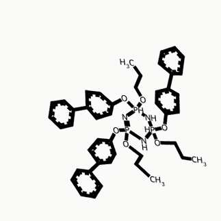 CCCOP1(Oc2ccc(-c3ccccc3)cc2)=N[PH](OCCC)(Oc2ccc(-c3ccccc3)cc2)N[PH](OCCC)(Oc2ccc(-c3ccccc3)cc2)N1